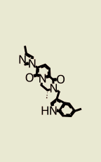 Cc1ccc2[nH]cc(CN3C(=O)c4ccc(-n5cnc(C)c5)c(=O)n4C[C@H]3C)c2c1